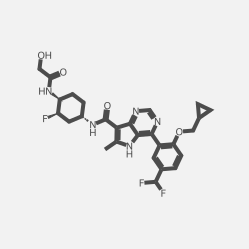 Cc1[nH]c2c(-c3cc(C(F)F)ccc3OCC3CC3)ncnc2c1C(=O)N[C@H]1CC[C@H](NC(=O)CO)[C@H](F)C1